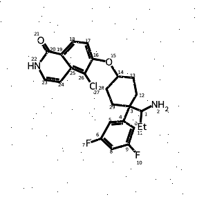 CCC(N)C1(c2cc(F)cc(F)c2)CCC(Oc2ccc3c(=O)[nH]ccc3c2Cl)CC1